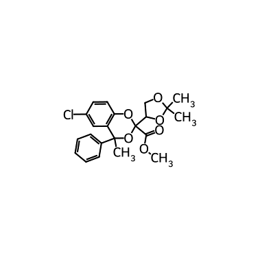 COC(=O)C1(C2COC(C)(C)O2)Oc2ccc(Cl)cc2C(C)(c2ccccc2)O1